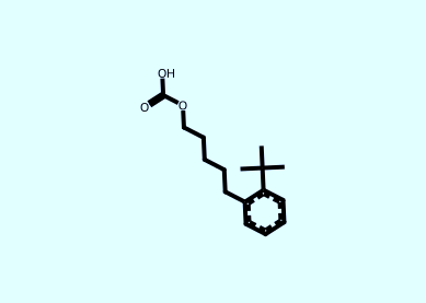 CC(C)(C)c1ccccc1CCCCCOC(=O)O